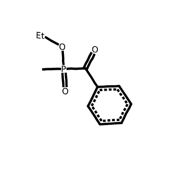 CCOP(C)(=O)C(=O)c1ccccc1